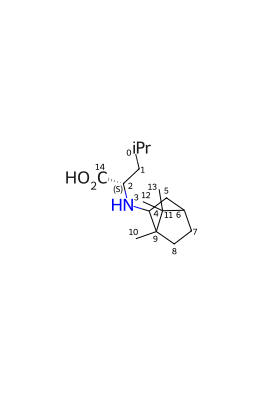 CC(C)C[C@H](NC1CC2CCC1(C)C2(C)C)C(=O)O